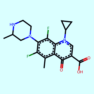 Cc1c(F)c(N2CCNC(C)C2)c(F)c2c1c(=O)c(C(=O)O)cn2C1CC1